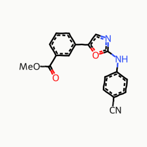 COC(=O)c1cccc(-c2cnc(Nc3ccc(C#N)cc3)o2)c1